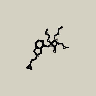 CCSC[C@@H]1N(COC)C(=O)[C@]1(Cc1nccc2c1C[C@@H](CCC1CC1)C2)OCOC